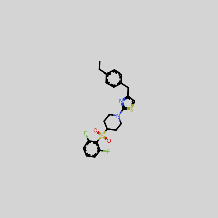 CCc1ccc(Cc2csc(N3CCC(S(=O)(=O)c4c(F)cccc4F)CC3)n2)cc1